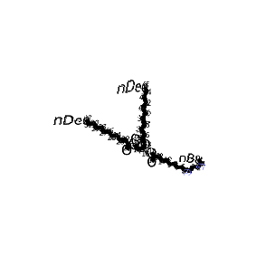 CCCC/C=C\C/C=C\CCCCCCCC(=O)OC[C@H](COC(=O)CCCCCCCCCCCCCCCCCCCC)OC(=O)CCCCCCCCCCCCCCCCCCC